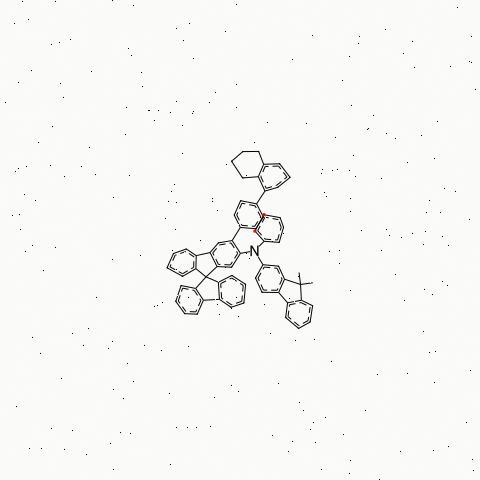 CC1(C)c2ccccc2-c2ccc(N(c3ccccc3)c3cc4c(cc3-c3ccc(-c5cccc6c5CCCC6)cc3)-c3ccccc3C43c4ccccc4-c4ccccc43)cc21